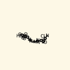 CC1(C)C(=O)N(c2ccc(C#N)c(Cl)c2)c2ccc(-c3ncc(N4CC(CN5CCN(c6ccc7c(c6)C(=O)N(C6CCC(=O)NC6=O)C7=O)CC5)C4)cn3)cc21